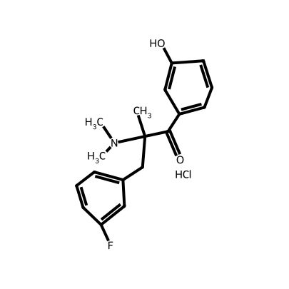 CN(C)C(C)(Cc1cccc(F)c1)C(=O)c1cccc(O)c1.Cl